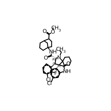 CCN1[C@@H](C(=O)NC23CCCC(C2)C(C(=O)OC)CC3)[C@H](c2cccc(Cl)c2F)[C@]2(C(=O)Nc3cc(Cl)ccc32)C12CCCCC2